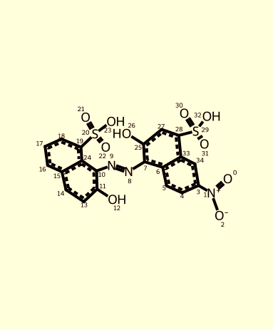 O=[N+]([O-])c1ccc2c(N=Nc3c(O)ccc4cccc(S(=O)(=O)O)c34)c(O)cc(S(=O)(=O)O)c2c1